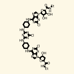 CCNC(=O)[C@@H]1C[C@@H](O)[C@H](n2cnc3c(N[C@H]4CC[C@H](Nc5nc(Cl)nc(N[C@H]6CC[C@H](Nc7nc(Cl)nc8c7ncn8[C@@H]7O[C@H](C(=O)NCC)[C@@H](O)[C@H]7O)CC6)n5)CC4)nc(Cl)nc32)O1